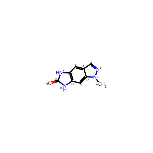 Cn1ncc2cc3[nH]c(=O)[nH]c3cc21